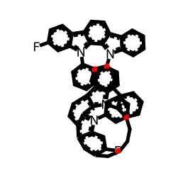 Fc1ccc2c3ccc4c5ccccc5n(-c5cccc(-c6cccc7c6-n6c8ccccc8c8ccc9c%10cc(c(F)cc%10n(-c%10ccccc%10)c9c86)CCCC7)c5)c4c3n(-c3ccccc3)c2c1